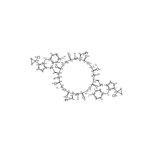 CC(C)C[C@H]1C(=O)O[C@H](Cc2ccc(Cn3nccc3C3(Cl)CC3)cc2)C(=O)N(C)[C@@H](CC(C)C)C(=O)O[C@H](C)C(=O)N(C)[C@@H](CC(C)C)C(=O)O[C@H](Cc2ccc(Cn3nccc3C3(Cl)CC3)cc2)C(=O)N(C)[C@@H](CC(C)C)C(=O)O[C@H](C)C(=O)N1C